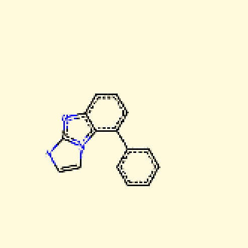 C1=Cn2c(nc3cccc(-c4ccccc4)c32)[N]1